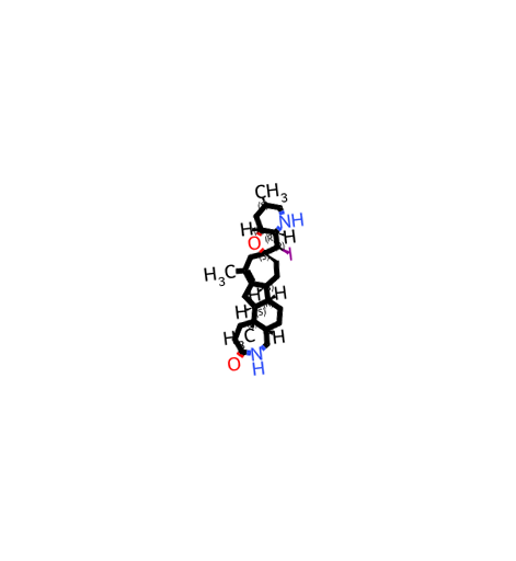 CC1=C2C[C@H]3[C@@H](CC[C@@H]4CNC(=O)CC[C@@]43C)[C@@H]2CC[C@@]2(C1)O[C@@H]1C[C@H](C)CN[C@H]1[C@H]2I